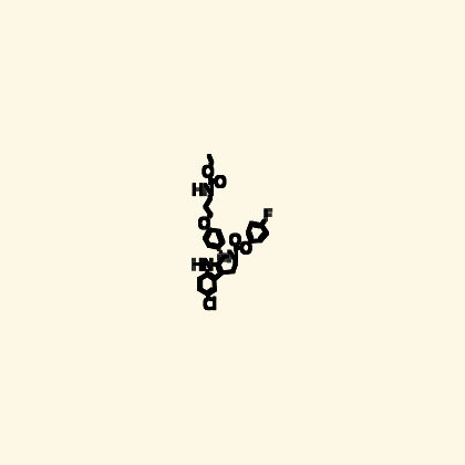 CCOC(=O)NCCCOc1ccc([C@H]2c3[nH]c4ccc(Cl)cc4c3CCN2C(=O)Oc2ccc(F)cc2)cc1